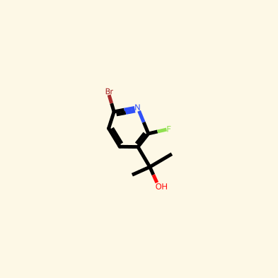 CC(C)(O)c1ccc(Br)nc1F